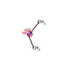 CCCCCCCCCCCCCCCCN(CCO)C(=O)CC(=O)N(CCO)CCCCCCCCCCCCCCCC